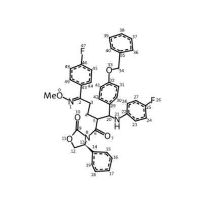 CO/N=C(/CCC(C(=O)N1C(=O)OC[C@@H]1c1ccccc1)C(Nc1ccc(F)cc1)c1ccc(OCc2ccccc2)cc1)c1ccc(F)cc1